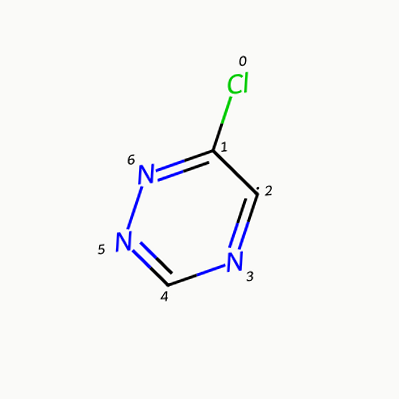 Clc1[c]ncnn1